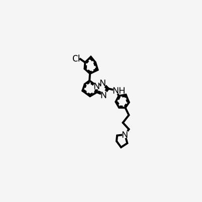 Clc1cccc(-c2cccc3nc(Nc4ccc(CCCN5CCCC5)cc4)nn23)c1